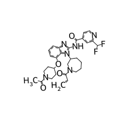 C=CC(=O)N1CCCCC(n2c(NC(=O)c3ccnc(C(F)F)c3)nc3cccc(OC4CCN(C(C)=O)CC4)c32)C1